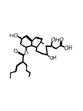 CCCCC(CCCC)C(=O)OC1CC(O)C=C2C=CC(C)C(CCC(O)CC(O)CC(=O)O)C21